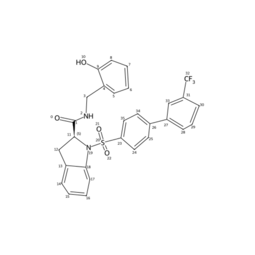 O=C(NCc1ccccc1O)[C@@H]1Cc2ccccc2N1S(=O)(=O)c1ccc(-c2cccc(C(F)(F)F)c2)cc1